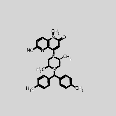 Cc1ccc(C(c2ccc(C)cc2)N2C[C@H](C)N(c3cc(=O)n(C)c4ccc(C#N)nc34)CC2C)cc1